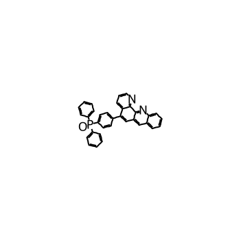 O=P(c1ccccc1)(c1ccccc1)c1ccc(-c2cc3cc4ccccc4nc3c3ncccc23)cc1